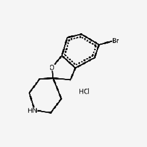 Brc1ccc2c(c1)CC1(CCNCC1)O2.Cl